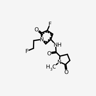 CN1C(=O)CCC1C(=O)Nc1cc(F)c(=O)n(CCF)c1